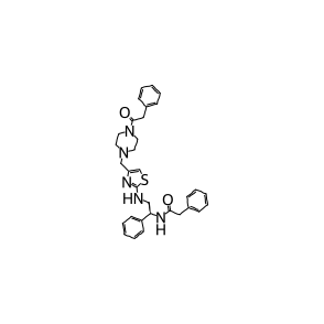 O=C(Cc1ccccc1)N[C@H](CNc1nc(CN2CCN(C(=O)Cc3ccccc3)CC2)cs1)c1ccccc1